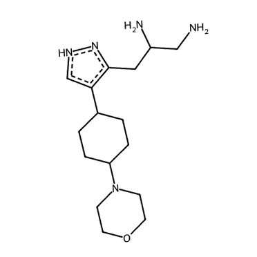 NCC(N)Cc1n[nH]cc1C1CCC(N2CCOCC2)CC1